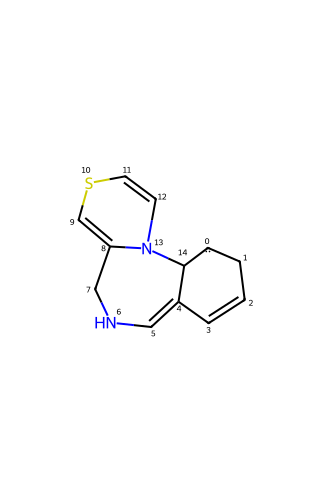 [C]1CC=CC2=CNCC3=CSC=CN3C12